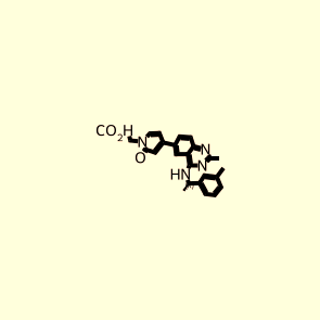 Cc1cccc([C@@H](C)Nc2nc(C)nc3ccc(-c4ccn(CC(=O)O)c(=O)c4)cc23)c1